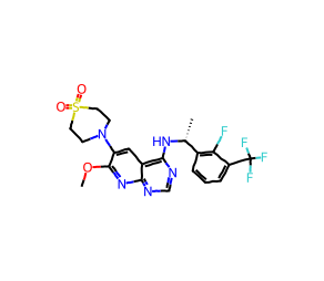 COc1nc2ncnc(N[C@H](C)c3cccc(C(F)(F)F)c3F)c2cc1N1CCS(=O)(=O)CC1